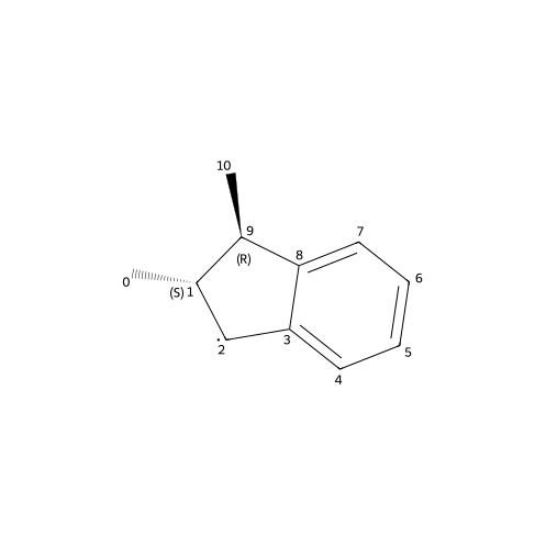 C[C@H]1[CH]c2ccccc2[C@@H]1C